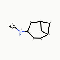 CNC1CCC2CC(C2)C1